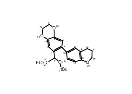 CCOC(=O)C(OC(C)(C)C)c1cc2c(cc1-c1ccc3c(c1)CCCO3)OCCO2